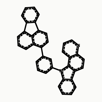 c1cc(-c2ccc3c4c(cccc24)-c2ccccc2-3)cc(-n2c3ccccc3c3ccc4ncccc4c32)c1